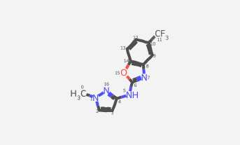 Cn1ccc(Nc2nc3cc(C(F)(F)F)ccc3o2)n1